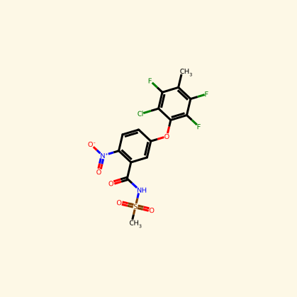 Cc1c(F)c(F)c(Oc2ccc([N+](=O)[O-])c(C(=O)NS(C)(=O)=O)c2)c(Cl)c1F